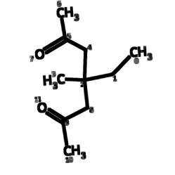 CCC(C)(CC(C)=O)CC(C)=O